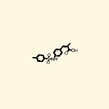 CC(=Cc1ccc(NS(=O)(=O)c2ccc(C)cc2)cc1)C(=O)O